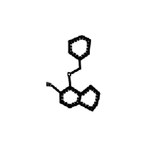 Brc1ccc2ccccc2c1OCc1ccccc1